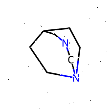 C1CN2CCC1C[N]C2